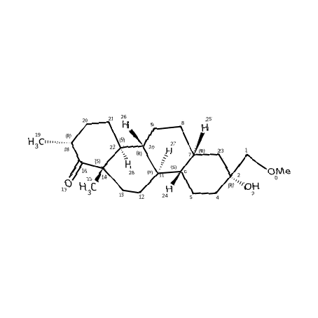 COC[C@@]1(O)CC[C@H]2[C@H](CC[C@@H]3[C@@H]2CC[C@]2(C)C(=O)[C@H](C)CC[C@@H]32)C1